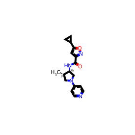 C[C@H]1CN(c2ccncc2)C[C@@H]1NC(=O)c1cc(C2CC2)on1